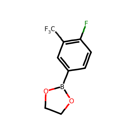 Fc1ccc(B2OCCO2)cc1C(F)(F)F